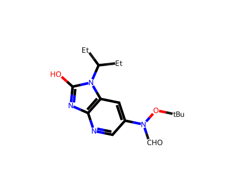 CCC(CC)n1c(O)nc2ncc(N(C=O)OC(C)(C)C)cc21